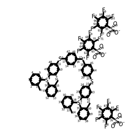 Cc1ccccc1[S+](c1ccc(Sc2ccc([I+]c3ccc(Sc4ccc([S+](c5ccccc5C)c5ccccc5C)cc4)cc3)cc2)cc1)c1ccccc1C.O=S(=O)([O-])c1c(F)c(F)c(F)c(F)c1F.O=S(=O)([O-])c1c(F)c(F)c(F)c(F)c1F.O=S(=O)([O-])c1c(F)c(F)c(F)c(F)c1F